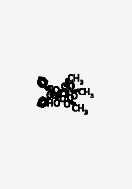 CCC(=O)NC1C(OC(=O)CC)OC(CO)C(OP(=O)(OCc2ccccc2)OCc2ccccc2)C1OC(=O)CC